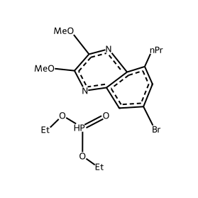 CCCc1cc(Br)cc2nc(OC)c(OC)nc12.CCO[PH](=O)OCC